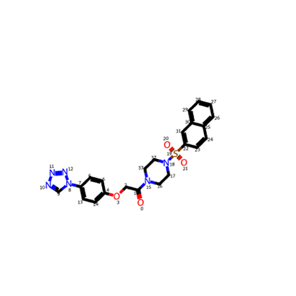 O=C(COc1ccc(-n2cnnn2)cc1)N1CCN(S(=O)(=O)c2ccc3ccccc3c2)CC1